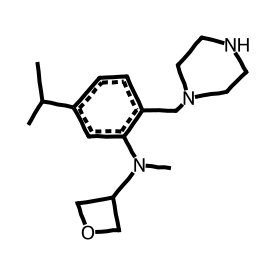 CC(C)c1ccc(CN2CCNCC2)c(N(C)C2COC2)c1